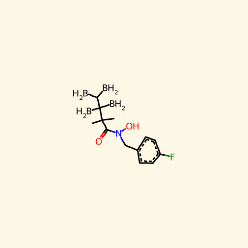 BC(B)C(B)(B)C(C)(C)C(=O)N(O)Cc1ccc(F)cc1